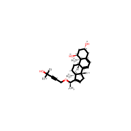 CCC(O)(C#CCO[C@H](C)C1=CC[C@H]2C3=CC=C4C[C@@H](O)C[C@H](O)[C@]4(C)[C@H]3CC[C@]12C)CC